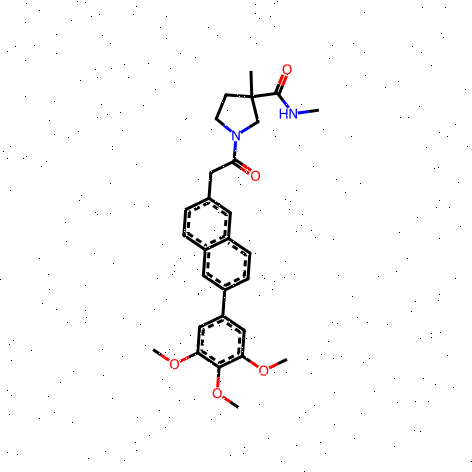 CNC(=O)C1(C)CCN(C(=O)Cc2ccc3cc(-c4cc(OC)c(OC)c(OC)c4)ccc3c2)C1